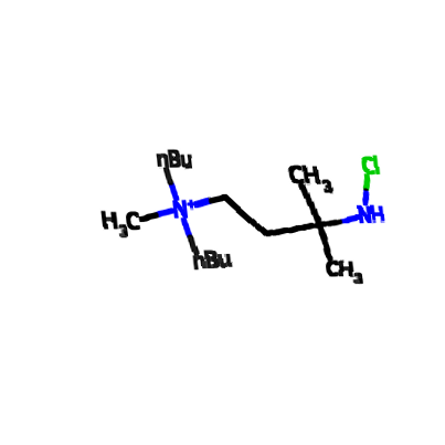 CCCC[N+](C)(CCCC)CCC(C)(C)NCl